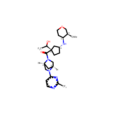 CO[C@@H]1COCC[C@@H]1N[C@@H]1CC[C@@](C(=O)N2C[C@@H]3C[C@H]2CN3c2ccnc(C(F)(F)F)n2)(C(O)C(F)(F)F)C1